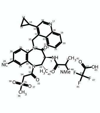 CNC(C)C(=O)N[C@@H]1C(=O)N(Cc2c(C3CC3)cnc3ccccc23)c2ccc(C#N)cc2N(C(=O)CS(C)(=O)=O)[C@H]1C.O=C(O)C(F)(F)F